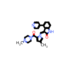 Cc1cc(C(=O)N2CCN(C)CC2)n(C=C2C(=O)Nc3cccc(-c4ccncc4)c32)c1